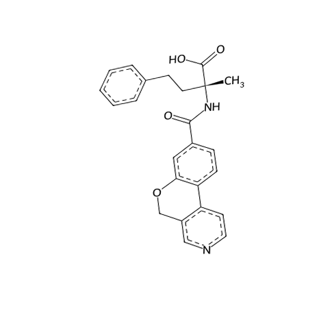 C[C@](CCc1ccccc1)(NC(=O)c1ccc2c(c1)OCc1cnccc1-2)C(=O)O